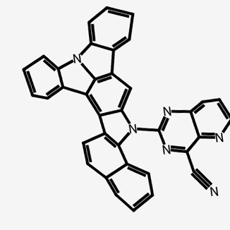 N#Cc1nc(-n2c3cc4c5ccccc5n5c6ccccc6c(c3c3ccc6ccccc6c32)c45)nc2cccnc12